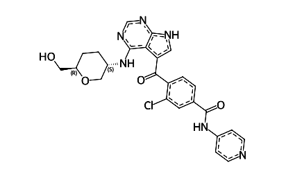 O=C(Nc1ccncc1)c1ccc(C(=O)c2c[nH]c3ncnc(N[C@H]4CC[C@H](CO)OC4)c23)c(Cl)c1